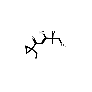 CCC(CC)(CC(F)(F)F)/C(O)=C/C(=O)C1(CF)CC1